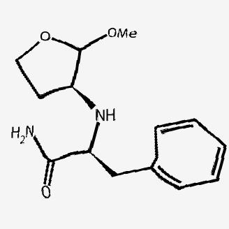 COC1OCC[C@@H]1N[C@@H](Cc1ccccc1)C(N)=O